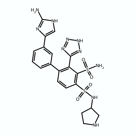 Nc1nc(-c2cccc(-c3ccc(S(=O)(=O)NC4CCNC4)c(S(N)(=O)=O)c3-c3nn[nH]n3)c2)c[nH]1